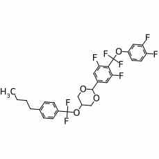 CCCCc1ccc(C(F)(F)OC2COC(c3cc(F)c(C(F)(F)Oc4ccc(F)c(F)c4)c(F)c3)OC2)cc1